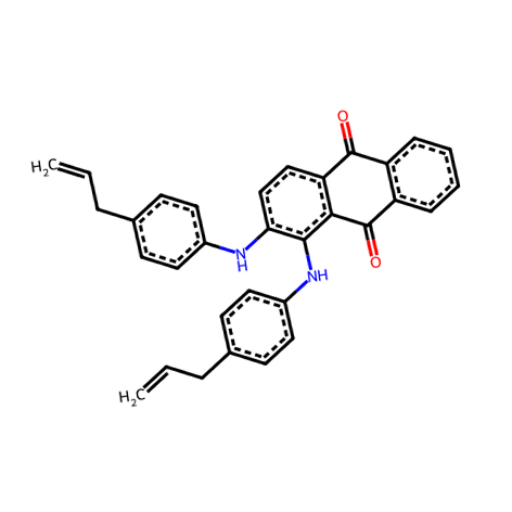 C=CCc1ccc(Nc2ccc3c(c2Nc2ccc(CC=C)cc2)C(=O)c2ccccc2C3=O)cc1